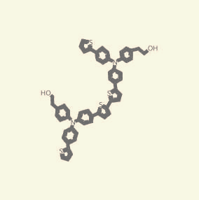 OCCc1ccc(N(c2ccc(-c3cccs3)cc2)c2ccc(-c3ccc(-c4ccc(-c5ccc(N(c6ccc(CCO)cc6)c6ccc(-c7cccs7)cc6)cc5)s4)s3)cc2)cc1